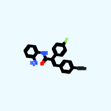 COc1ccc(C=C(C(=O)Nc2ccccc2N)c2ccc(F)cc2)cc1